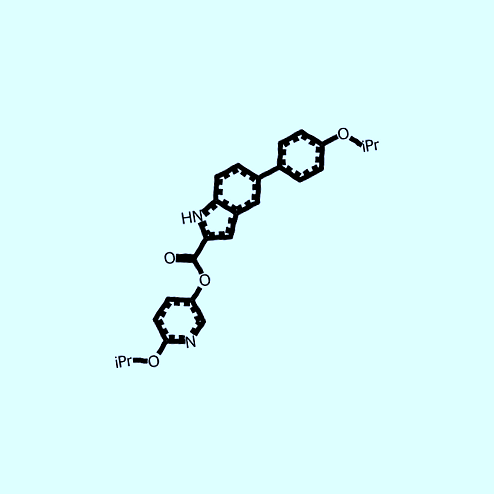 CC(C)Oc1ccc(-c2ccc3[nH]c(C(=O)Oc4ccc(OC(C)C)nc4)cc3c2)cc1